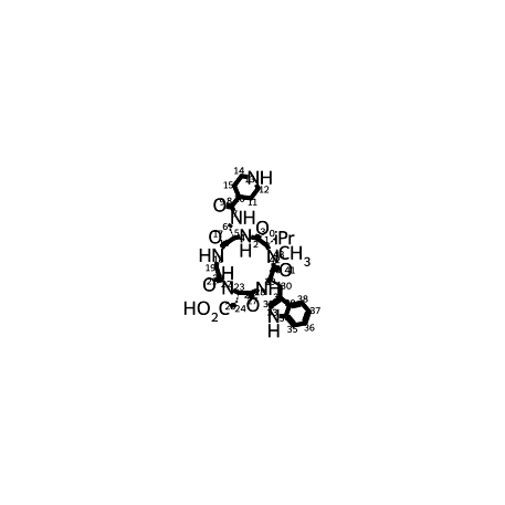 CC(C)[C@H]1C(=O)N[C@@H](CNC(=O)C2CCNCC2)C(=O)NCC(=O)N[C@@H](CC(=O)O)C(=O)N[C@H](Cc2c[nH]c3ccccc23)C(=O)N1C